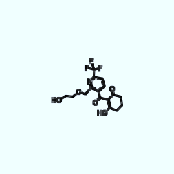 O=C1CCCC(O)=C1C(=O)c1ccc(C(F)(F)F)nc1COCCO